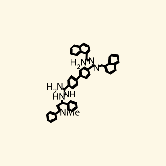 CN/C(=C\C(NNC(N)c1ccc(-c2ccc(C(=N/Cc3cccc4ccccc34)/N=C(\N)c3cccc4ccccc34)cc2)cc1)c1ccccc1)c1ccccc1